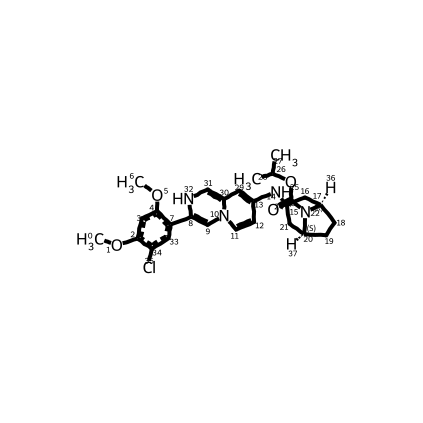 COc1cc(OC)c(C2=CN3C=CC(N[C@H]4C[C@H]5CC[C@@H](C4)N5C(=O)OC(C)C)=CC3=CN2)cc1Cl